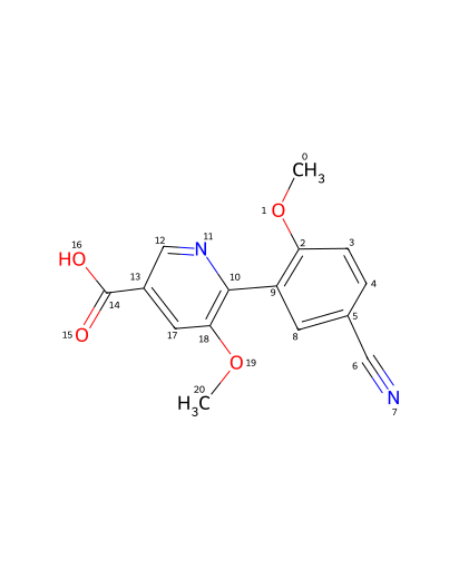 COc1ccc(C#N)cc1-c1ncc(C(=O)O)cc1OC